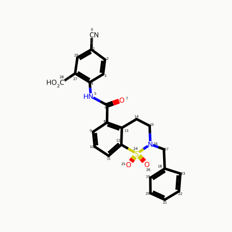 N#Cc1ccc(NC(=O)c2cccc3c2CCN(Cc2ccccc2)S3(=O)=O)c(C(=O)O)c1